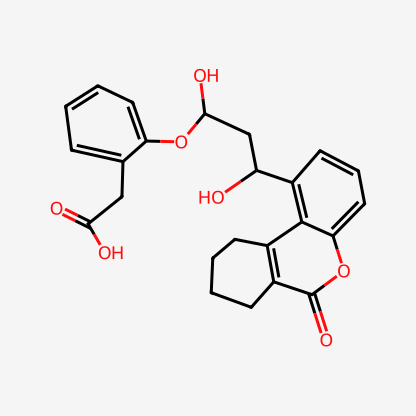 O=C(O)Cc1ccccc1OC(O)CC(O)c1cccc2oc(=O)c3c(c12)CCCC3